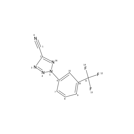 N#Cc1nnn(-c2cccc(C(F)(F)F)c2)n1